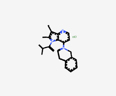 C=C(C(C)C)n1c(C)c(C)c2nccc(N3CCc4ccccc4C3)c21.Cl